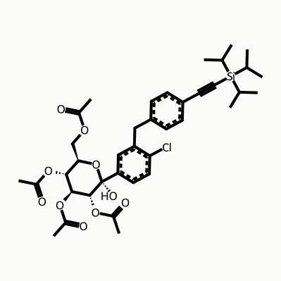 CC(=O)OC[C@H]1O[C@@](O)(c2ccc(Cl)c(Cc3ccc(C#C[Si](C(C)C)(C(C)C)C(C)C)cc3)c2)[C@H](OC(C)=O)[C@@H](OC(C)=O)[C@@H]1OC(C)=O